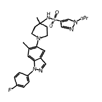 CCCn1cc(S(=O)(=O)NC2(C)CCN(c3cc4cnn(-c5ccc(F)cc5)c4cc3C)CC2)cn1